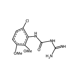 COc1ccc(Cl)c(NC(=O)NC(=N)N)c1OC